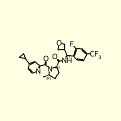 C[C@@H]1CC[C@H](C(=O)N[C@@H](c2ccc(C(F)(F)F)cc2F)C2COC2)N1C(=O)c1cc(C2CC2)ccn1